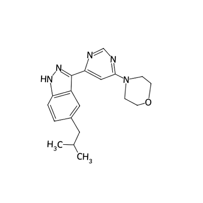 CC(C)Cc1ccc2[nH]nc(-c3cc(N4CCOCC4)ncn3)c2c1